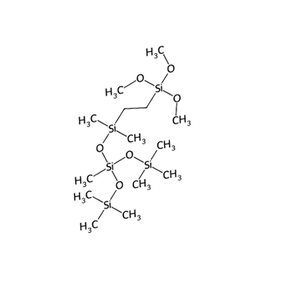 CO[Si](CC[Si](C)(C)O[Si](C)(O[Si](C)(C)C)O[Si](C)(C)C)(OC)OC